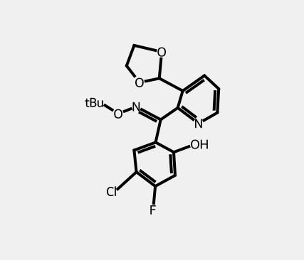 CC(C)(C)ON=C(c1cc(Cl)c(F)cc1O)c1ncccc1C1OCCO1